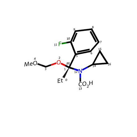 CC[C@@](OCOC)(c1ccccc1F)N(C(=O)O)C1CC1